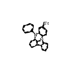 CCc1ccc2c(c1)N(c1ccccc1)c1cccc3c4ccccc4n-2c13